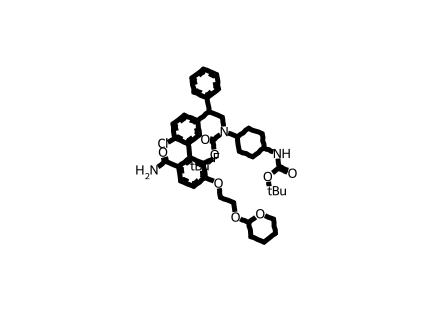 CC(C)(C)OC(=O)NC1CCC(N(CC(c2ccccc2)c2ccc(Cl)c(-c3c(C(N)=O)ccc(OCCOC4CCCCO4)c3F)c2)C(=O)OC(C)(C)C)CC1